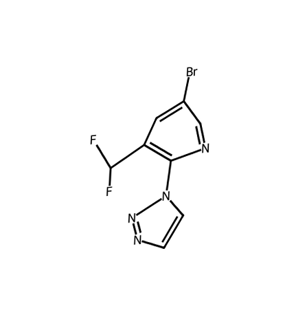 FC(F)c1cc(Br)cnc1-n1ccnn1